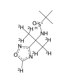 [2H]c1nc(C(N[S@@+]([O-])C(C)(C)C)(C([2H])([2H])[2H])C([2H])([2H])[2H])no1